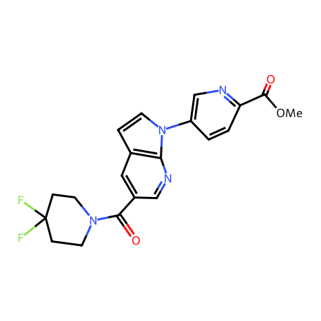 COC(=O)c1ccc(-n2ccc3cc(C(=O)N4CCC(F)(F)CC4)cnc32)cn1